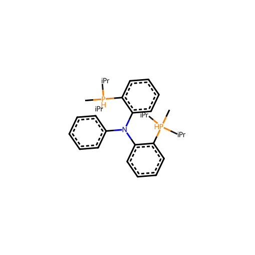 CC(C)[PH](C)(c1ccccc1N(c1ccccc1)c1ccccc1[PH](C)(C(C)C)C(C)C)C(C)C